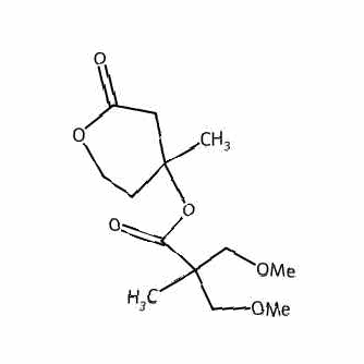 COCC(C)(COC)C(=O)OC1(C)CCOC(=O)C1